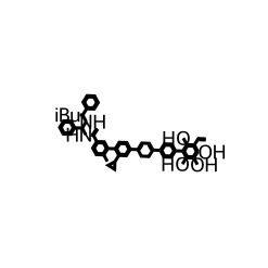 C=Cc1c(O)c(O)c(O)c(-c2ccc(C3=CC=C(c4ccc(-c5cc(C(=C)NC(NC(c6ccccc6)C(C)CC)c6ccccc6)ccc5C)c(C5CC5)c4)CC3)cc2)c1O